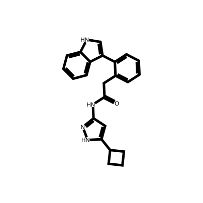 O=C(Cc1ccccc1-c1c[nH]c2ccccc12)Nc1cc(C2CCC2)[nH]n1